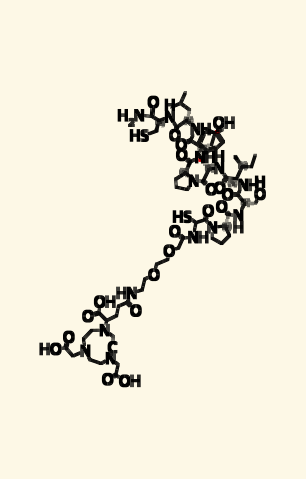 CC[C@H](C)[C@H](NC(=O)[C@H](CO)NC(=O)[C@@H]1CCCN1C(=O)C(S)NC(=O)COCCOCCNC(=O)CCC(C(=O)O)N1CCN(CC(=O)O)CCN(CC(=O)O)CC1)C(=O)N[C@@H](Cc1ccc(O)cc1)C(=O)N1CCC[C@H]1C(=O)N[C@@H](CC(C)C)C(=O)N[C@@H](CC(C)C)C(=O)N[C@@H](CS)C(N)=O